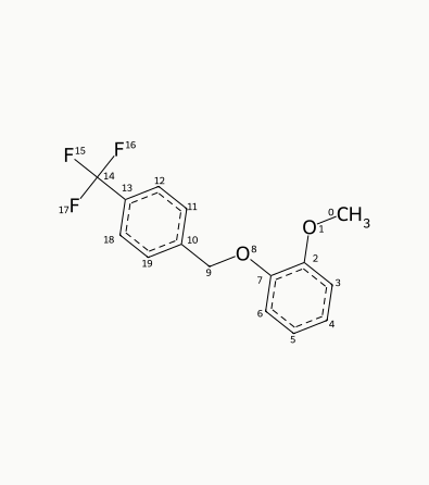 COc1ccccc1OCc1ccc(C(F)(F)F)cc1